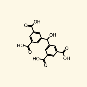 O=C(O)c1cc(C(=O)O)cc(C(O)c2cc(C(=O)O)cc(C(=O)O)c2)c1